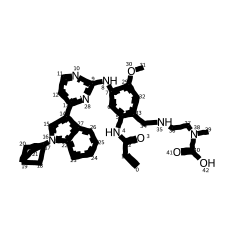 C=CC(=O)Nc1cc(Nc2nccc(-c3cn(C45CC(C4)C5)c4ccccc34)n2)c(OC)cc1CNCCN(C)C(=O)O